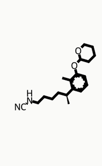 Cc1c(OC2CCCCO2)cccc1[C@@H](C)CCCCNC#N